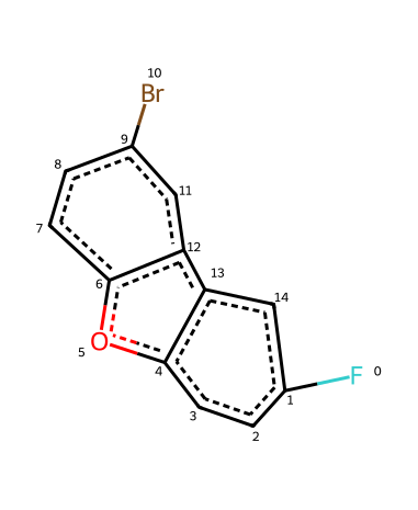 Fc1ccc2oc3ccc(Br)cc3c2c1